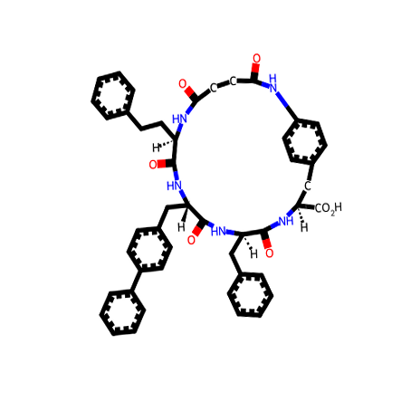 O=C1CCC(=O)N[C@H](CCc2ccccc2)C(=O)N[C@@H](Cc2ccc(-c3ccccc3)cc2)C(=O)N[C@H](Cc2ccccc2)C(=O)N[C@H](C(=O)O)Cc2ccc(cc2)N1